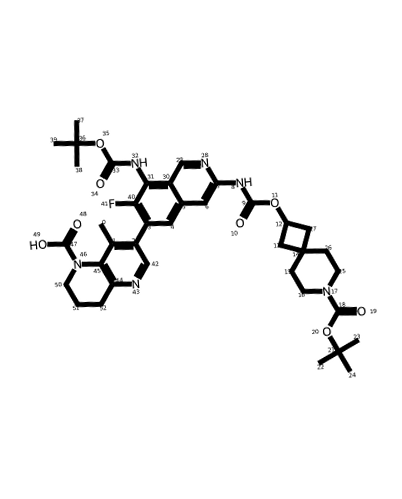 Cc1c(-c2cc3cc(NC(=O)OC4CC5(CCN(C(=O)OC(C)(C)C)CC5)C4)ncc3c(NC(=O)OC(C)(C)C)c2F)cnc2c1N(C(=O)O)CCC2